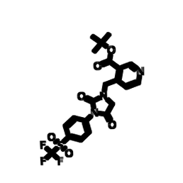 CC(C)(C)OC(=O)c1cnccc1CN1CC(=O)N(c2ccc(S(=O)(=O)C(F)(F)F)cc2)C1=O